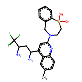 Cc1ccc2nc(N3CCS(O)(O)c4ccccc4C3)cc(C(N)CC(N)C(F)(F)F)c2c1